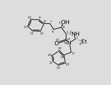 CC[C@H]1N[C@@H]([C@H](O)[CH]Cc2ccccc2)C(=O)N1Cc1ccccc1